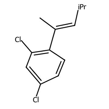 C/C(=C\C(C)C)c1ccc(Cl)cc1Cl